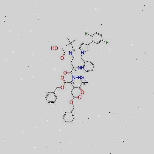 C[C@H](N)C(=O)C(CC(=O)OCc1ccccc1)[C@H](NC(=O)[C@@H](N)CCN(C(=O)CO)[C@@H](c1cc(-c2cc(F)ccc2F)cn1Cc1ccccc1)C(C)(C)C)C(=O)OCc1ccccc1